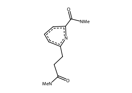 CNC(=O)CCc1cccc(C(=O)NC)n1